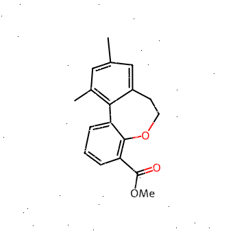 COC(=O)c1cccc2c1OCCc1cc(C)cc(C)c1-2